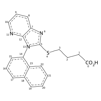 O=C(O)CCCSc1nc2cccnc2n1-c1cccc2ccccc12